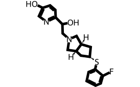 Oc1ccc(C(O)CN2C[C@H]3C[C@H](Sc4ccccc4F)C[C@H]3C2)nc1